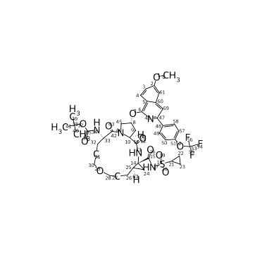 COc1ccc2c(O[C@@H]3C[C@H]4C(=O)N[C@]5(C(=O)NS(=O)(=O)C6CC6)C[C@H]5CCCOCCC[C@H](NC(=O)OC(C)(C)C)C(=O)N4C3)nc(-c3ccc(OC(F)(F)F)cc3)cc2c1